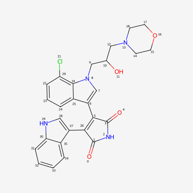 O=C1NC(=O)C(c2cn(CC(O)CN3CCOCC3)c3c(Cl)cccc23)=C1c1c[nH]c2ccccc12